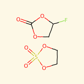 O=C1OCC(F)O1.O=S1(=O)OCCO1